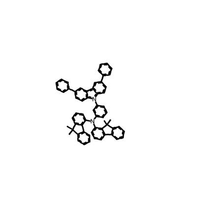 CC1(C)c2ccccc2-c2c(N(c3cccc(-n4c5ccc(-c6ccccc6)cc5c5cc(-c6ccccc6)ccc54)c3)c3cccc4c3C(C)(C)c3ccccc3-4)cccc21